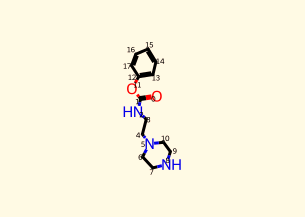 O=C(NCCN1CCNCC1)Oc1ccccc1